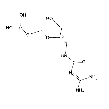 NC(N)=NC(=O)NC[C@@H](CO)OCOP(O)O